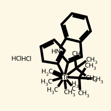 Cl.Cl.[CH2]=[Ti]([CH3])([CH3])([CH3])([CH3])([C]1=CC=CC1)([c]1cc2ccccc2[nH]1)([C](C)(C)C)[C](C)(C)C